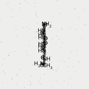 C[C@@H](CCCCNC(=O)CCCCCNCC(=O)CNCNC(=O)CCCC(=O)NCNCC(=O)CNCCCCC(N)=O)C(N)=O